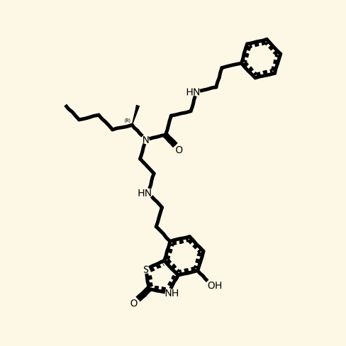 CCCC[C@@H](C)N(CCNCCc1ccc(O)c2[nH]c(=O)sc12)C(=O)CCNCCc1ccccc1